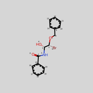 O=C(N[C@H](O)[C@@H](Br)OCc1ccccc1)c1ccccc1